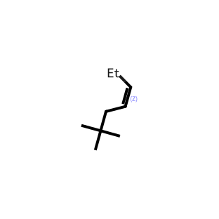 CC/C=C\CC(C)(C)C